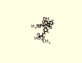 CCOC(CCC1CCC(NC(=O)C2(C(COCCOC)CC(=O)O)CCCC2)CC1)C(=O)O